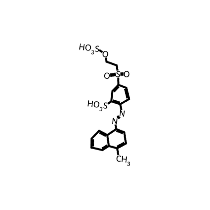 Cc1ccc(N=Nc2ccc(S(=O)(=O)CCOS(=O)(=O)O)cc2S(=O)(=O)O)c2ccccc12